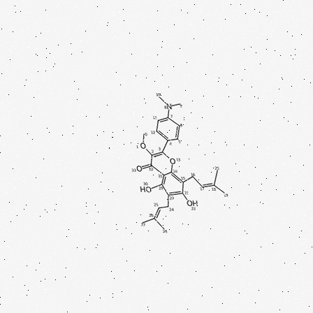 COc1c(-c2ccc(N(C)C)cc2)oc2c(CC=C(C)C)c(O)c(CC=C(C)C)c(O)c2c1=O